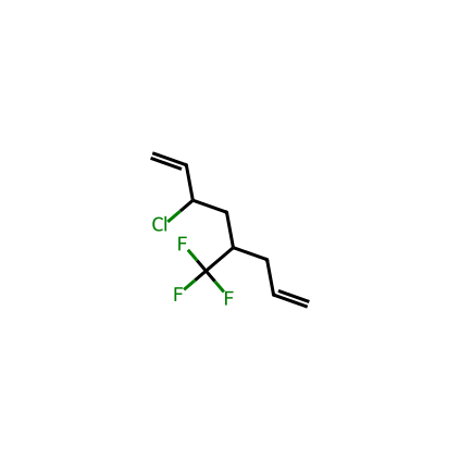 C=CCC(CC(Cl)C=C)C(F)(F)F